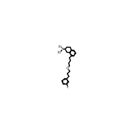 CCN(CC)C1CCc2cccc(CCCCOCCCc3cccc(F)c3)c2C1